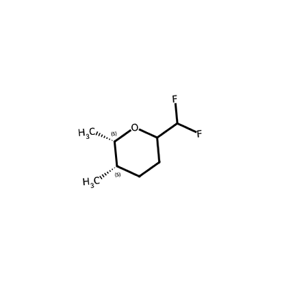 C[C@@H]1OC(C(F)F)CC[C@@H]1C